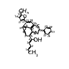 C/C=C/C=C(\O)c1cc2c3c-2c(-c2ccc(C)o2)cc2c3c1N=C(c1ccccc1)S2